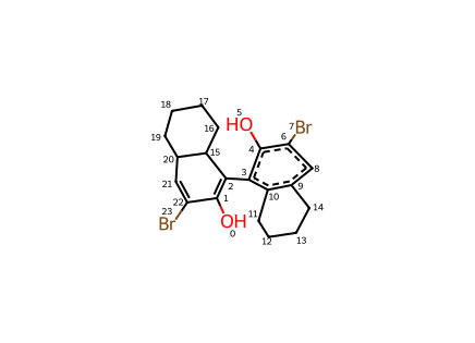 OC1=C(c2c(O)c(Br)cc3c2CCCC3)C2CCCCC2C=C1Br